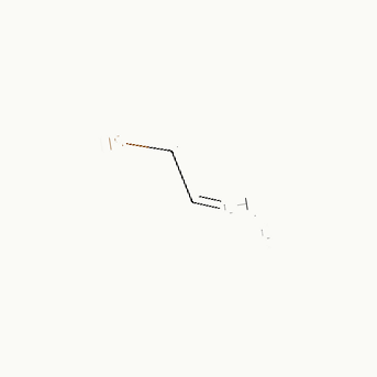 C=CCS.[C]